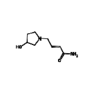 NC(=O)C=CCN1CCC(O)C1